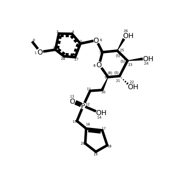 COc1ccc(OC2O[C@H](CCP(=O)(O)CC3=CCCC3)[C@@H](O)[C@H](O)[C@@H]2O)cc1